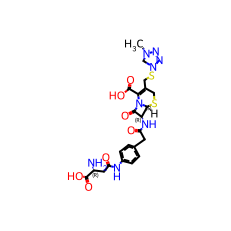 CN1CN(SCC2=C(C(=O)O)N3C(=O)[C@@H](NC(=O)Cc4ccc(NC(=O)C[C@@H](N)C(=O)O)cc4)[C@@H]3SC2)N=N1